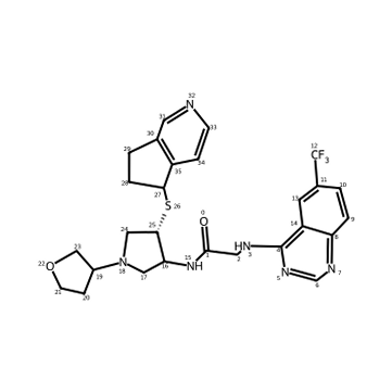 O=C(CNc1ncnc2ccc(C(F)(F)F)cc12)NC1CN(C2CCOC2)C[C@@H]1SC1CCc2cnccc21